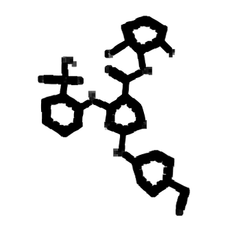 CS(=O)(=O)c1ccccc1Nc1nc(Nc2ccc(C=O)cc2)ncc1C(=O)Nc1c(F)cccc1Cl